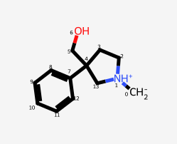 [CH2-][NH+]1CCC(CO)(c2ccccc2)C1